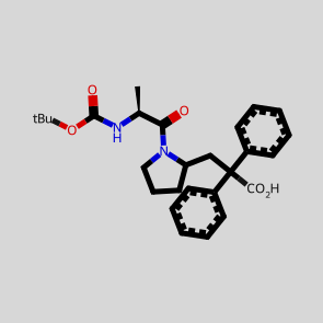 C[C@H](NC(=O)OC(C)(C)C)C(=O)N1CCCC1CC(C(=O)O)(c1ccccc1)c1ccccc1